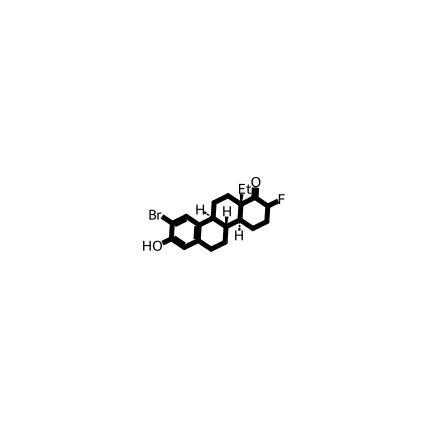 CC[C@]12CC[C@@H]3c4cc(Br)c(O)cc4CC[C@H]3[C@@H]1CCC(F)C2=O